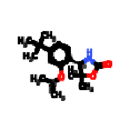 C[SiH](C)Oc1cc(C(C)(C)C)ccc1[C@@H]1NC(=O)OC1(C)C